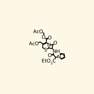 CCOC(=O)C(C(=O)NC1C(=O)N2C(C(=O)OCOC(C)=O)=C(COC(C)=O)CSC12)n1cccc1